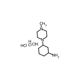 CN1CCN(C2CCCC(N)C2)CC1.Cl.Cl.Cl